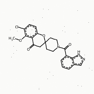 COc1c(Cl)ccc2c1C(=O)CC1(CCN(C(=O)c3cccc4cn[nH]c34)CC1)O2